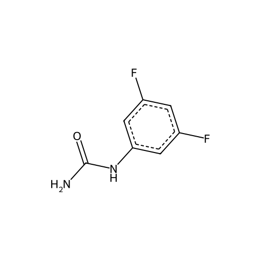 NC(=O)Nc1cc(F)cc(F)c1